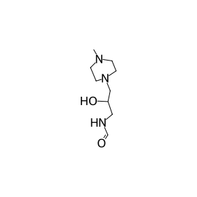 CN1CCN(CC(O)CNC=O)CC1